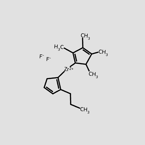 CCCC1=[C]([Zr+2][C]2=C(C)C(C)=C(C)C2C)CC=C1.[F-].[F-]